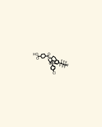 O=C(O)C1CCC(C(=O)N2CCC3(S(=O)(=O)c4ccc(Cl)cc4)c4ccc(C(F)(F)C(F)(F)C(F)(F)F)cc4CCC23)CC1